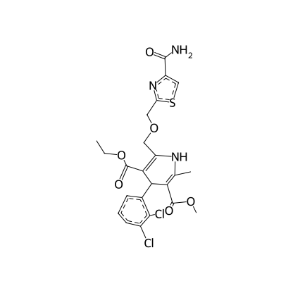 CCOC(=O)C1=C(COCc2nc(C(N)=O)cs2)NC(C)=C(C(=O)OC)C1c1cccc(Cl)c1Cl